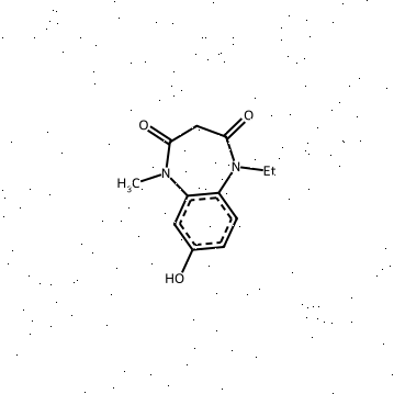 CCN1C(=O)CC(=O)N(C)c2cc(O)ccc21